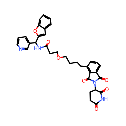 O=C1CCC(N2C(=O)c3cccc(CCCCOCCC(=O)NC(c4cccnc4)c4cc5ccccc5o4)c3C2=O)C(=O)N1